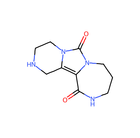 O=C1NCCCn2c1c1n(c2=O)CCNC1